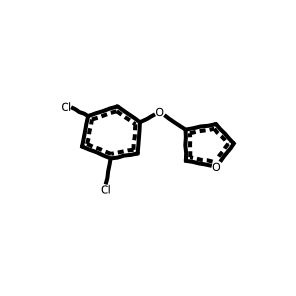 Clc1cc(Cl)cc(Oc2ccoc2)c1